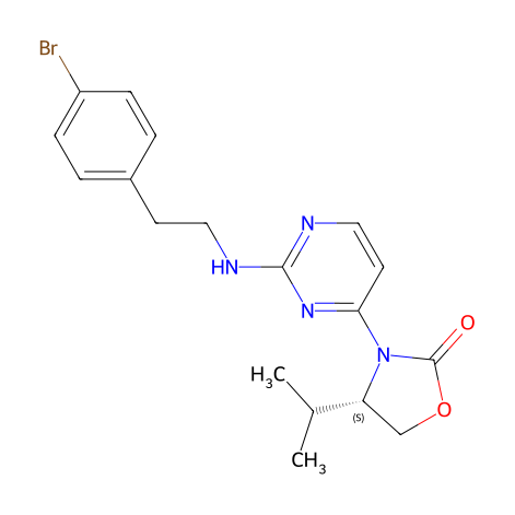 CC(C)[C@H]1COC(=O)N1c1ccnc(NCCc2ccc(Br)cc2)n1